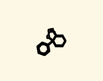 COC1(c2ccccc2)C=CCC=C1Cl